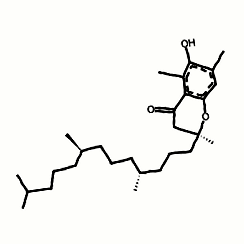 Cc1cc2c(c(C)c1O)C(=O)C[C@](C)(CCC[C@H](C)CCC[C@H](C)CCCC(C)C)O2